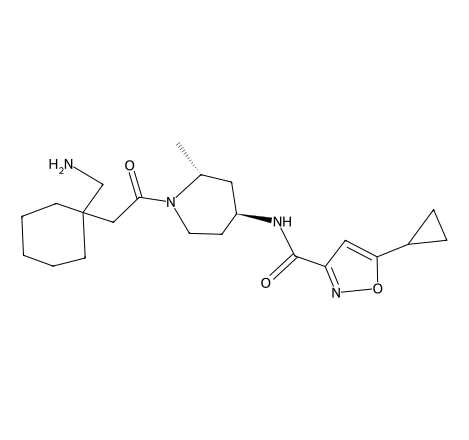 C[C@@H]1C[C@@H](NC(=O)c2cc(C3CC3)on2)CCN1C(=O)CC1(CN)CCCCC1